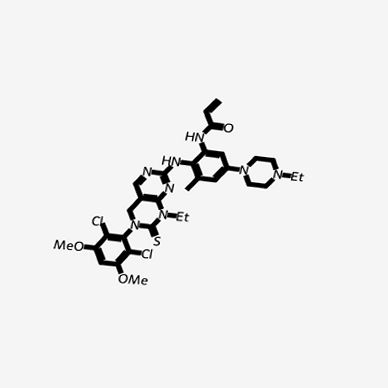 C=CC(=O)Nc1cc(N2CCN(CC)CC2)cc(C)c1Nc1ncc2c(n1)N(CC)C(=S)N(c1c(Cl)c(OC)cc(OC)c1Cl)C2